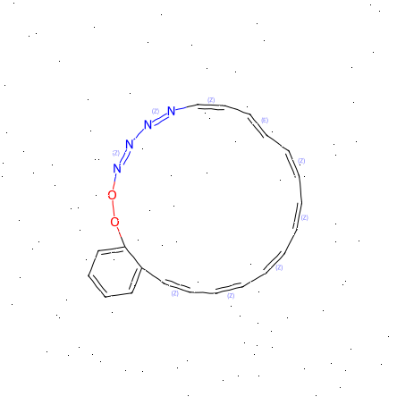 C1=C\C=C/C=C\c2ccccc2OO\N=N/N=N\C=C/C=C/C=C\C=C/1